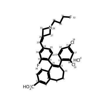 Cl.O=C(O)c1ccc2c(c1)CCCC(c1ccc(Cl)cc1Cl)=C2c1ccc(C=C2CN(CCCF)C2)cc1F